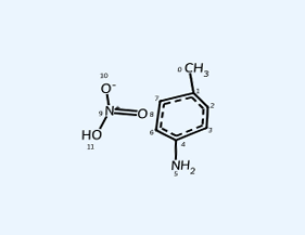 Cc1ccc(N)cc1.O=[N+]([O-])O